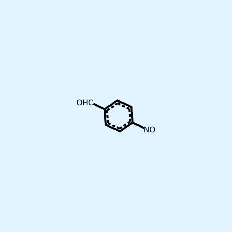 O=Cc1ccc(N=O)cc1